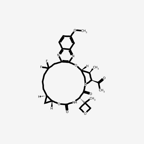 COc1ccc2nc3c(nc2c1)O[C@H]1CN(C(=O)[C@H](C2(C)COC2)NC(=O)O[C@@H]2C[C@H]2CCCC(F)(F)C3)[C@H](C(C)=O)[C@@H]1C